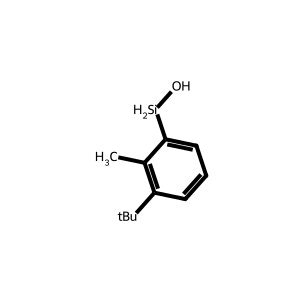 Cc1c([SiH2]O)cccc1C(C)(C)C